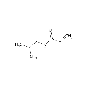 C=CC(=O)NCP(C)C